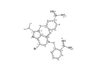 CC(C)c1nc2c(Br)cn(Cc3ccccc3C(=N)N)c(=O)c2n1Cc1cccc(C(=N)N)c1